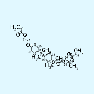 C=CC(=O)OCCOc1ccc(C(C)(C)c2ccc(C(C)(C)OCCC(C)(C)OC(=O)C=C)cc2)cc1